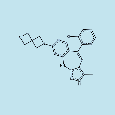 Cc1[nH]nc2c1N=C(c1ccccc1Cl)c1cnc(N3CC4(COC4)C3)cc1N2